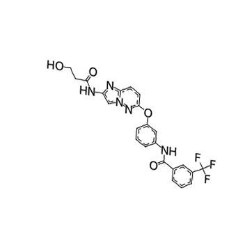 O=C(CCO)Nc1cn2nc(Oc3cccc(NC(=O)c4cccc(C(F)(F)F)c4)c3)ccc2n1